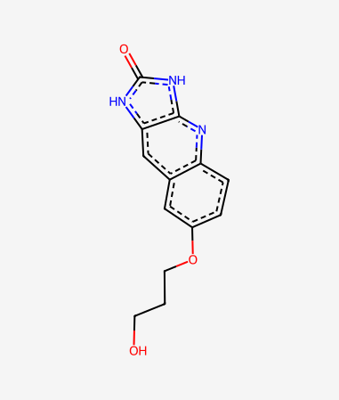 O=c1[nH]c2cc3cc(OCCCO)ccc3nc2[nH]1